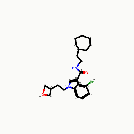 O=C(NCCC1CCCCCC1)c1cn(CCC2COC2)c2cccc(Br)c12